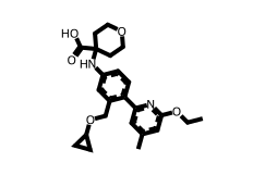 CCOc1cc(C)cc(-c2ccc(NC3(C(=O)O)CCOCC3)cc2COC2CC2)n1